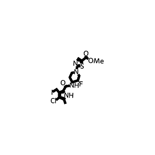 COC(=O)c1cnc(N2CC[C@@H](NC(=O)c3[nH]c(C)c(Cl)c3CI)[C@@H](F)C2)s1